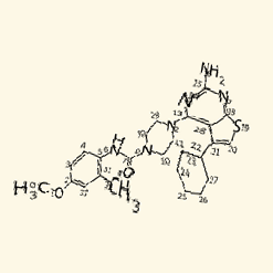 COc1ccc(NC(=O)N2CCN(c3nc(N)nc4scc(C5CCCCC5)c34)CC2)c(C)c1